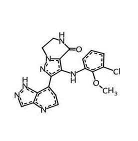 COc1c(Cl)cccc1Nc1c(-c2ccnc3cn[nH]c23)nn2c1C(=O)NCC2